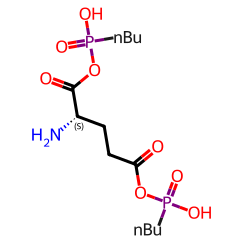 CCCCP(=O)(O)OC(=O)CC[C@H](N)C(=O)OP(=O)(O)CCCC